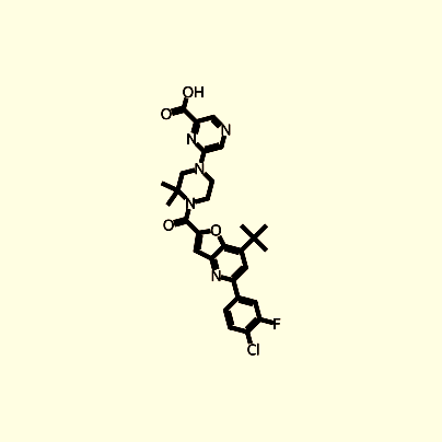 CC(C)(C)c1cc(-c2ccc(Cl)c(F)c2)nc2cc(C(=O)N3CCN(c4cncc(C(=O)O)n4)CC3(C)C)oc12